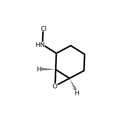 ClNC1CCC[C@H]2O[C@@H]12